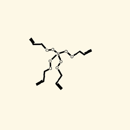 C=CCOO[Si](OOCC=C)(OOCC=C)OOCC=C